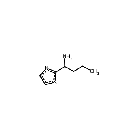 CCCC(N)c1nccs1